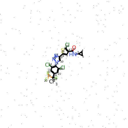 O=C(NC1CC1)c1cc(-c2cn(-c3c(Cl)cc(C(F)(P(F)F)C(F)(F)F)cc3Cl)nn2)sc1Cl